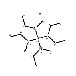 CCN(C)[P+](N(C)CC)(N(C)CC)N(CC)CC.[I-]